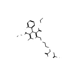 CCOOC(=O)C1=C(COCCN[C@@H](CC(=O)O)C(=O)O)NC(C)=C(C(=O)OOC)C1c1ccccc1Cl